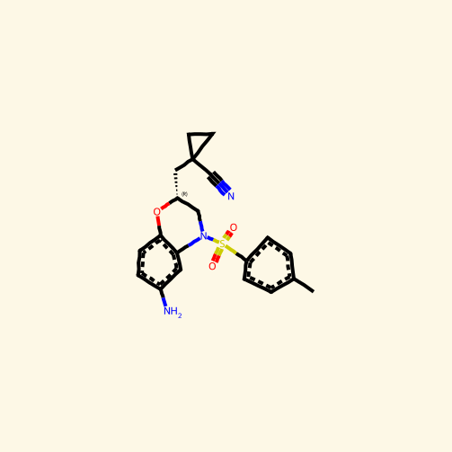 Cc1ccc(S(=O)(=O)N2C[C@@H](CC3(C#N)CC3)Oc3ccc(N)cc32)cc1